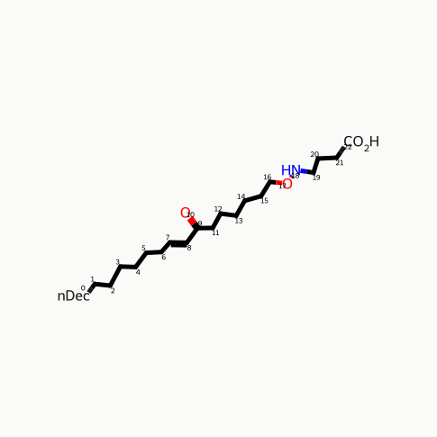 CCCCCCCCCCCCCCCCC=CC(=O)CCCCCCONCCCC(=O)O